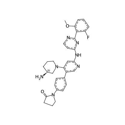 COc1cccc(F)c1-c1nccc(Nc2cc(N3CCC[C@H](N)C3)c(-c3ccc(N4CCCC4=O)cc3)cn2)n1